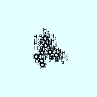 Bc1c(B)c(B)c(-c2c(B)c(B)c(N(c3ccc(-c4cccc5oc6c7ccccc7ccc6c45)cc3)c3c(B)c(B)c(-c4c(B)c(B)c(B)c(B)c4B)c(B)c3B)c(B)c2B)c(B)c1B